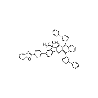 CC1(C)c2cc(-c3ccc(-c4nc5ccccc5o4)cc3)ccc2-c2cc3c(-c4cccc(-c5ccccc5)c4)c4ccccc4c(-c4cccc(-c5ccccc5)c4)c3cc21